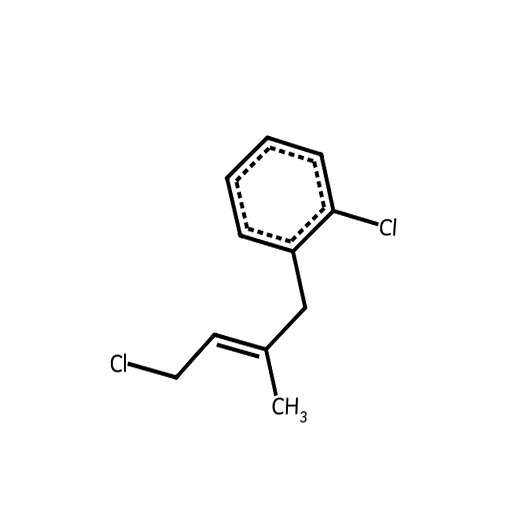 CC(=CCCl)Cc1ccccc1Cl